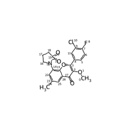 COc1c(-c2ccc(F)c(Cl)c2)oc2c(N3CCCS3(=O)=O)cc(C)cc2c1=O